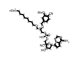 CCCCCCCCCCCCCCCCCCOC[C@H](COP(=O)(O)OC[C@@]1(C#N)O[C@@H](c2ccc3c(N)ncnn23)C[C@@H]1O)OCc1ccc(C#N)c(OC)c1